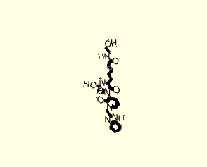 CN(C(=O)O)C(CC/C=C/C(=O)NCCO)C(=O)Nc1cccn(Cc2nc3ccccc3[nH]2)c1=O